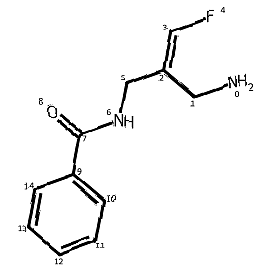 NC/C(=C\F)CNC(=O)c1ccccc1